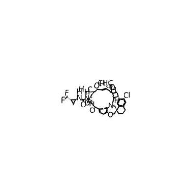 CO[C@H]1/C=C/[C@H](OC)[C@H](C)CS(=O)(NC(=O)N[C@H]2C[C@@H]2C(F)F)=NC(=O)c2ccc3c(c2)N(C[C@@H]2CC[C@H]21)C[C@@]1(CCCc2cc(Cl)ccc21)CO3